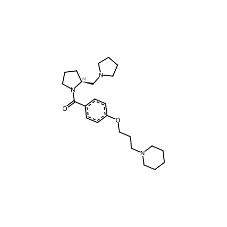 O=C(c1ccc(OCCCN2CCCCC2)cc1)N1CCC[C@H]1CN1CCCC1